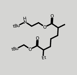 CCC(CCCC(C)C(=O)OCCNC(C)(C)C)C(=O)OCC(C)(C)C